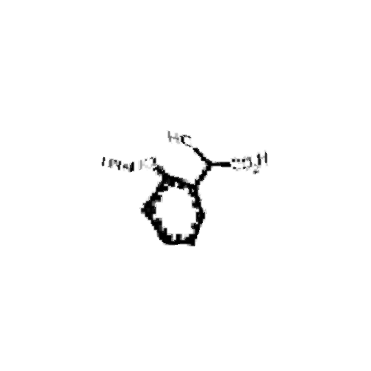 O=C(O)[C@H](O)c1ccccc1O.[NaH]